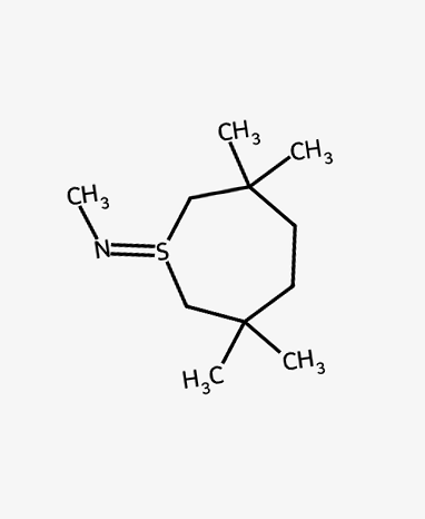 CN=S1CC(C)(C)CCC(C)(C)C1